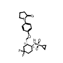 O=C1CCCN1c1ccc(OC[C@H]2CC(F)(F)CC[C@@H]2NS(=O)(=O)C2CC2)cc1